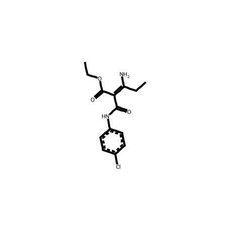 CCOC(=O)/C(C(=O)Nc1ccc(Cl)cc1)=C(\N)CC